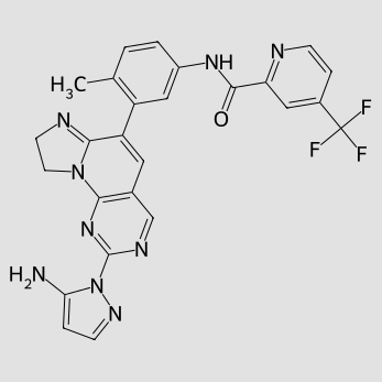 Cc1ccc(NC(=O)c2cc(C(F)(F)F)ccn2)cc1C1=Cc2cnc(-n3nccc3N)nc2N2CCN=C12